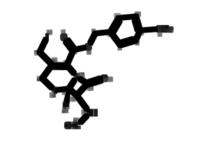 COc1ccc(COC(=O)C2=C(CI)CS[C@H]3C(NC=O)C(=O)N23)cc1